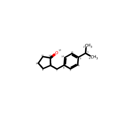 CC(C)c1ccc(CC2CCCC2=O)cc1